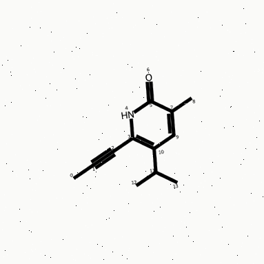 CC#Cc1[nH]c(=O)c(C)cc1C(C)C